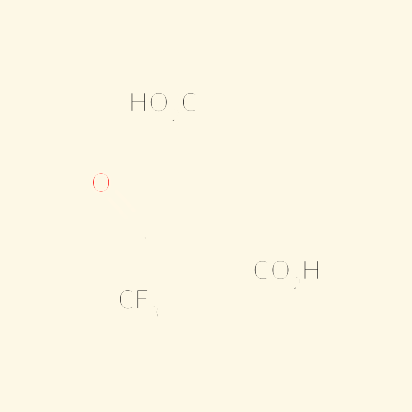 O=C(O)CC(C(=O)O)C(=O)C(F)(F)F